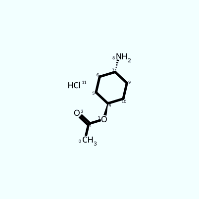 CC(=O)O[C@H]1CC[C@H](N)CC1.Cl